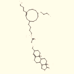 CC12CCC(COCC(=O)NCCCCC3C/C=C(/CCCN)CCC[C@@H](CCCN)CCC3)C=C1CCC1C2CCC2(C)C(O)CCC12